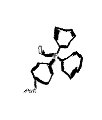 CCCC(C)c1ccc(P(=O)(c2ccccc2)c2ccccc2)cc1